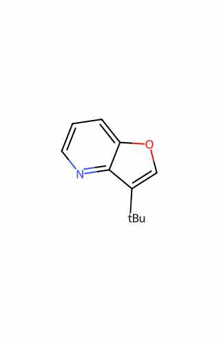 CC(C)(C)c1coc2cccnc12